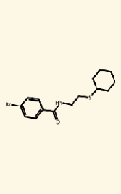 O=C(NCCSC1CCCCC1)c1ccc(Br)cc1